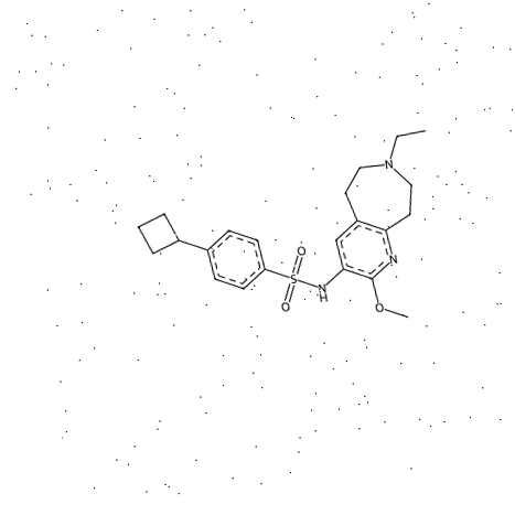 CCN1CCc2cc(NS(=O)(=O)c3ccc(C4CCC4)cc3)c(OC)nc2CC1